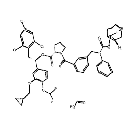 O=C(O[C@@H](Cc1c(Cl)c[n+]([O-])cc1Cl)c1ccc(OC(F)F)c(OCC2CC2)c1)[C@@H]1SCCN1C(=O)c1cccc(CN(C(=O)O[C@H]2CN3CCC2CC3)c2ccccc2)c1.O=CO